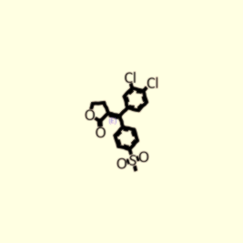 CS(=O)(=O)c1ccc(/C(=C2/CCOC2=O)c2ccc(Cl)c(Cl)c2)cc1